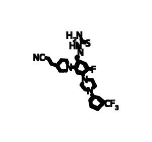 N#CCCC1CCN(c2cc(N3CCN(c4cccc(C(F)(F)F)c4)CC3)c(F)cc2/C=N/NC(N)=S)CC1